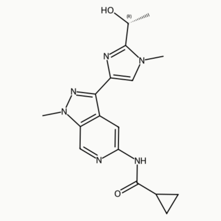 C[C@@H](O)c1nc(-c2nn(C)c3cnc(NC(=O)C4CC4)cc23)cn1C